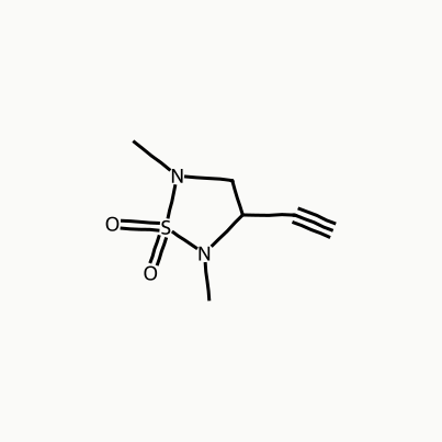 C#CC1CN(C)S(=O)(=O)N1C